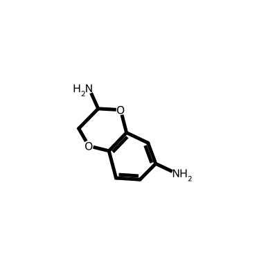 Nc1ccc2c(c1)OC(N)CO2